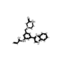 C=CC(=O)Nc1cc(CN2CCNC(=O)C2)cc(-c2cnc3ccccc3n2)c1